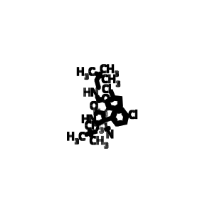 CC(C)(C)CCNC(=O)O[C@H]1N[C@@H](CC(C)(C)C)[C@](C#N)(c2ccc(Cl)cc2)[C@H]1c1cccc(Cl)c1